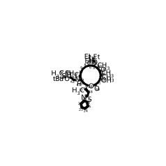 CC[Si](CC)(CC)OC1[C@@H](C)CCC[C@]2(C)[C@H](C[C@@H](/C(C)=C/c3nc4ccccc4s3)OC(=O)C[C@H](O)C(C)(C)C(=O)[C@@H]1C)N2CCO[Si](C)(C)C(C)(C)C